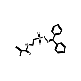 C=C(C)C(=O)NCCS(=O)(=O)ON=C(c1ccccc1)c1ccccc1